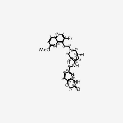 COc1ccc2ncc(F)c(CCN3C[C@H]4CC(NCc5ccc6c(n5)NC(=O)CO6)[C@@H](C3)O4)c2n1